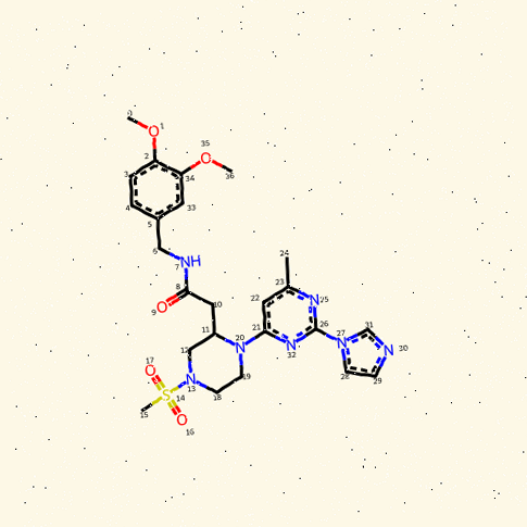 COc1ccc(CNC(=O)CC2CN(S(C)(=O)=O)CCN2c2cc(C)nc(-n3ccnc3)n2)cc1OC